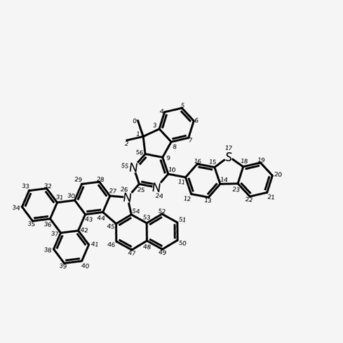 CC1(C)c2ccccc2-c2c(-c3ccc4c(c3)sc3ccccc34)nc(-n3c4ccc5c6ccccc6c6ccccc6c5c4c4ccc5ccccc5c43)nc21